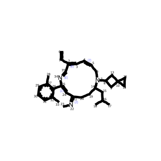 C=CC1=C\C=C/CN(C2CC3(CC3)C2)C(CC(C)C)CCC(=N/C)/C=C(c2c(C)cccc2C)\N=C\1